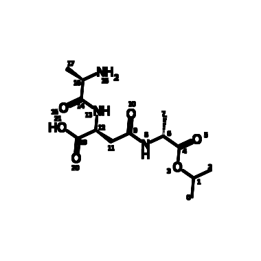 CC(C)OC(=O)[C@@H](C)NC(=O)C[C@H](NC(=O)[C@@H](C)N)C(=O)O